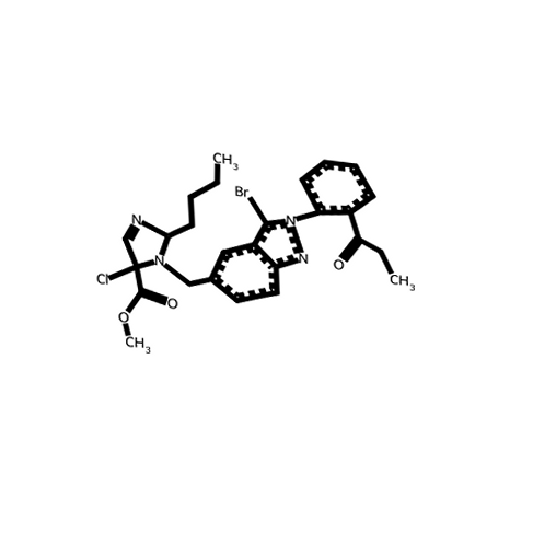 CCCCC1N=CC(Cl)(C(=O)OC)N1Cc1ccc2nn(-c3ccccc3C(=O)CC)c(Br)c2c1